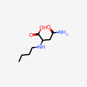 CCCCNC(CC(N)=O)C(=O)O